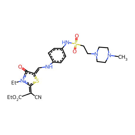 CCOC(=O)C(C#N)=c1sc(=CNc2ccc(NS(=O)(=O)CCN3CCN(C)CC3)cc2)c(=O)n1CC